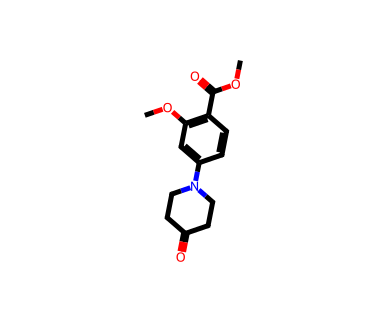 COC(=O)c1ccc(N2CCC(=O)CC2)cc1OC